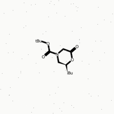 CC[C@H](C)[C@H]1CN(C(=O)OC(C)(C)C)CC(=O)O1